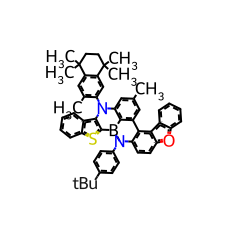 Cc1cc2c3c(c1)N(c1cc4c(cc1C)C(C)(C)CCC4(C)C)c1c(sc4ccccc14)B3N(c1ccc(C(C)(C)C)cc1)c1ccc3oc4ccccc4c3c1-2